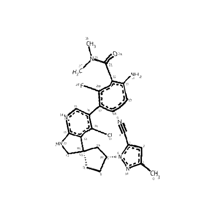 Cc1cc(C#N)n([C@@H]2CC[C@@]3(CNc4ncc(-c5ccc(N)c(C(=O)N(C)C)c5F)c(Cl)c43)C2)n1